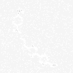 COc1ncc(-c2cnc(CCCCN[C@H]3CC[C@H](N)CC3)cn2)cn1